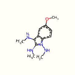 CNc1c(NC)n(NC)c2ccc(OC)cc12